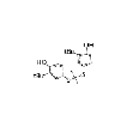 CC(C)(Sc1ccc(O)c(C(C)(C)C)c1)Sc1ccc(O)c(C(C)(C)C)c1